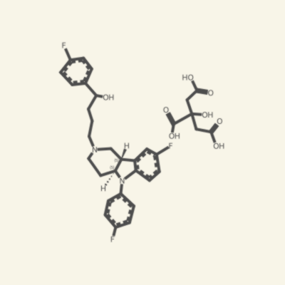 O=C(O)CC(O)(CC(=O)O)C(=O)O.OC(CCCN1CC[C@H]2[C@H](C1)c1cc(F)ccc1N2c1ccc(F)cc1)c1ccc(F)cc1